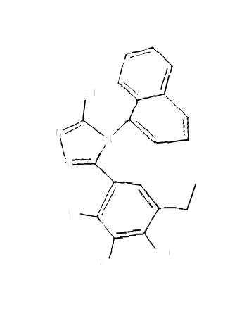 CCc1cc(-c2nnc(S)n2-c2cccc3ccccc23)c(O)c(Cl)c1O